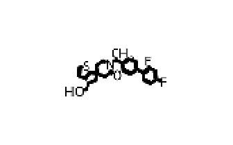 C[C@@H](c1ccc(-c2ccc(F)cc2F)cc1)N1CCC(CCCO)(c2cccs2)CC1=O